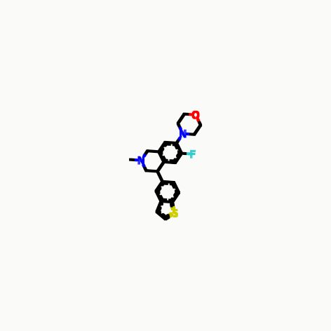 CN1Cc2cc(N3CCOCC3)c(F)cc2C(c2ccc3sccc3c2)C1